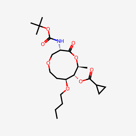 CCCCO[C@H]1CCOC[C@H](NC(=O)OC(C)(C)C)C(=O)O[C@@H](C)[C@@H]1OC(=O)C1CC1